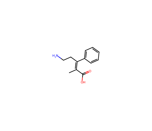 CC(C(=O)O)=C(CCN)c1ccccc1